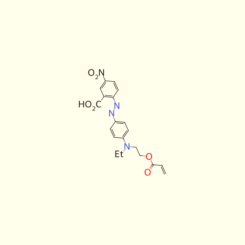 C=CC(=O)OCCN(CC)c1ccc(N=Nc2ccc([N+](=O)[O-])cc2C(=O)O)cc1